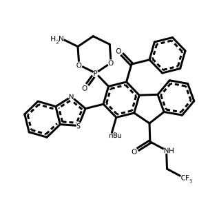 CCCCc1c(-c2nc3ccccc3s2)c(P2(=O)OCCC(N)O2)c(C(=O)c2ccccc2)c2c1C(C(=O)NCC(F)(F)F)c1ccccc1-2